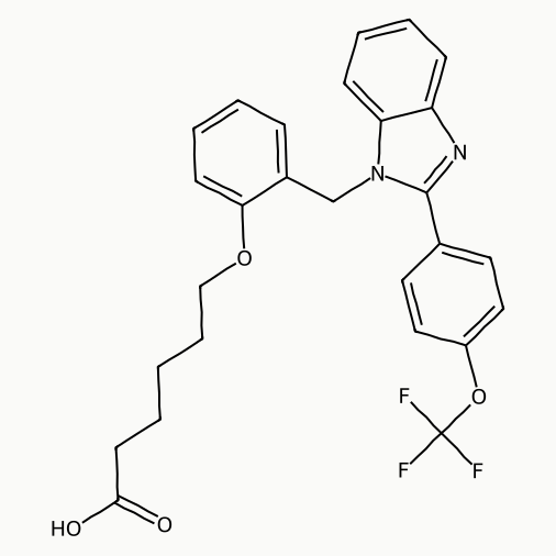 O=C(O)CCCCCOc1ccccc1Cn1c(-c2ccc(OC(F)(F)F)cc2)nc2ccccc21